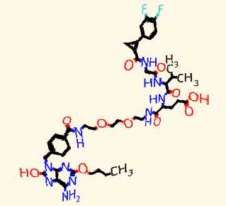 CCCCOc1nc(N)c2nc(O)n(Cc3ccc(C(=O)NCCOCCOCCNC(=O)C(CCC(=O)O)NC(=O)C(NC(=O)CNC(=O)C4CC4c4ccc(F)c(F)c4)C(C)C)cc3)c2n1